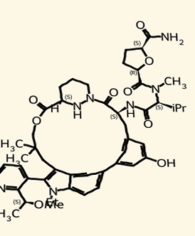 CCn1c(-c2cccnc2[C@H](C)OC)c2c3cc(ccc31)-c1cc(O)cc(c1)C[C@H](NC(=O)[C@H](C(C)C)N(C)C(=O)[C@H]1CC[C@@H](C(N)=O)O1)C(=O)N1CCC[C@H](N1)C(=O)OCC(C)(C)C2